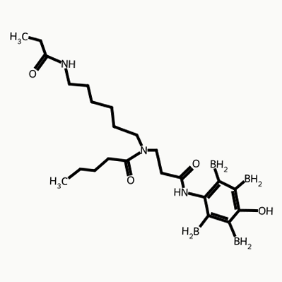 Bc1c(B)c(NC(=O)CCN(CCCCCCNC(=O)CC)C(=O)CCCC)c(B)c(B)c1O